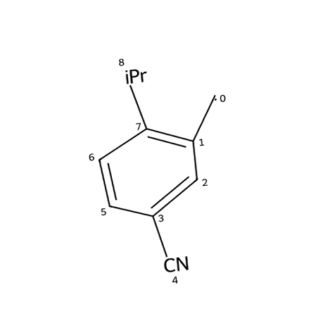 [CH2]c1cc(C#N)ccc1C(C)C